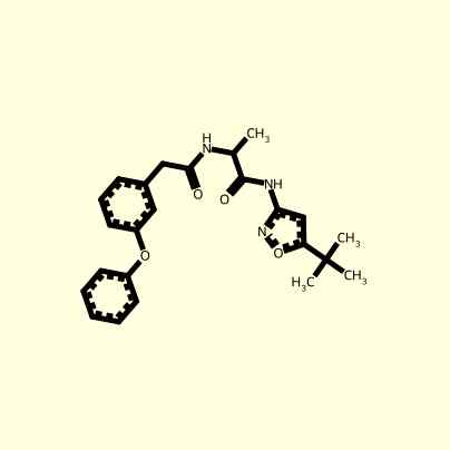 CC(NC(=O)Cc1cccc(Oc2ccccc2)c1)C(=O)Nc1cc(C(C)(C)C)on1